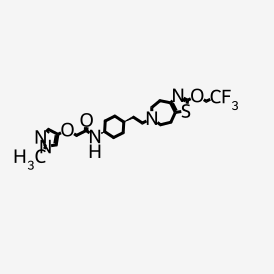 Cn1cc(OCC(=O)N[C@H]2CC[C@H](CCN3CCc4nc(OCC(F)(F)F)sc4CC3)CC2)cn1